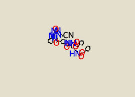 N#CCCNc1nonc1-c1nc2ccccc2n1CC(=O)c1ccc(NC(=O)C(CCCCNC(=O)OCc2ccccc2)NC(=O)OCc2ccccc2)cc1